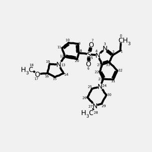 CCc1nn(S(=O)(=O)c2cccc(N3CCC(OC)C3)c2)c2cc(N3CCN(C)CC3)ccc12